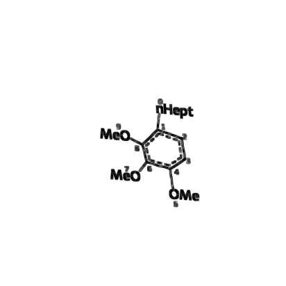 CCCCCCCc1ccc(OC)c(OC)c1OC